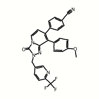 COc1ccc(-c2c(-c3ccc(C#N)cc3)ccn3c(=O)n(Cc4ccc(C(F)(F)F)nc4)nc23)cc1